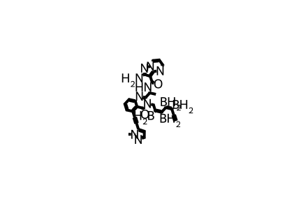 B/C(C#C)=C(B)/C(B)=C(/B)Cn1c(C(C)NC(=O)c2c(N)nn3cccnc23)nc2cccc(C#Cc3ccnn3C)c2c1=O